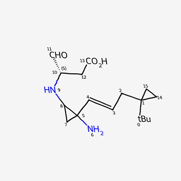 CC(C)(C)C1(CC=CC2(N)CC2N[C@H](C=O)CC(=O)O)CC1